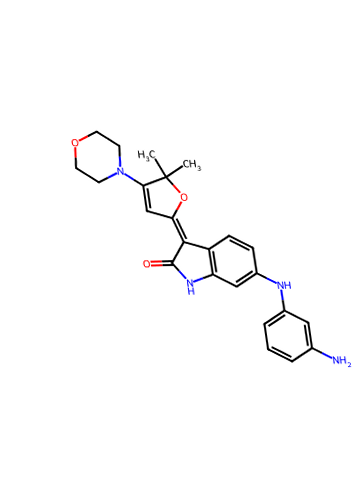 CC1(C)O/C(=C2/C(=O)Nc3cc(Nc4cccc(N)c4)ccc32)C=C1N1CCOCC1